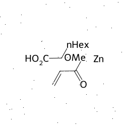 C=CC(=O)OC.CCCCCCCC(=O)O.[Zn]